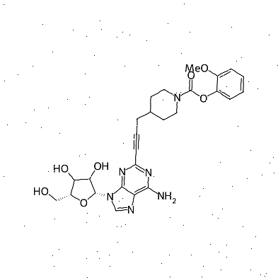 COc1ccccc1OC(=O)N1CCC(CC#Cc2nc(N)c3ncn([C@@H]4O[C@H](CO)C(O)C4O)c3n2)CC1